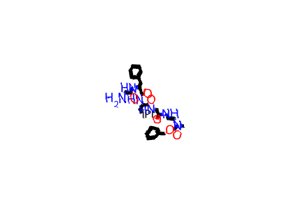 CC(C)CC(NC(=O)C(Cc1ccccc1)NC(=O)CN)C(=O)NCC(=O)NCCN(C)C(=O)OCc1ccccc1